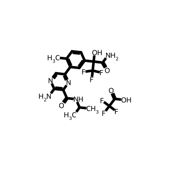 Cc1ccc(C(O)(C(N)=O)C(F)(F)F)cc1-c1cnc(N)c(C(=O)NC(C)C)n1.O=C(O)C(F)(F)F